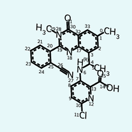 Cc1cc([C@@H](C)Nc2ccc(Cl)nc2C(=O)O)c2nc(-c3ccccc3C#N)n(C)c(=O)c2c1